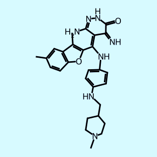 Cc1ccc2oc(/C(Nc3ccc(NCC4CCN(C)CC4)cc3)=C3/C(=N)C(=O)NN=C3N)c(C)c2c1